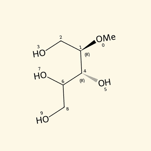 CO[C@H](CO)[C@H](O)C(O)CO